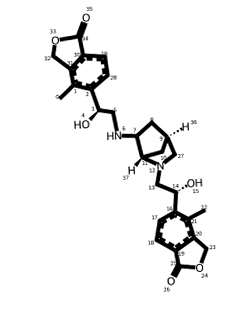 Cc1c([C@H](O)CNC2C[C@@H]3C[C@@H]2N(C[C@H](O)c2ccc4c(c2C)COC4=O)C3)ccc2c1COC2=O